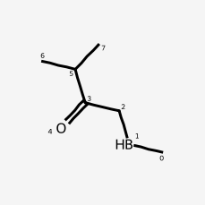 CBCC(=O)C(C)C